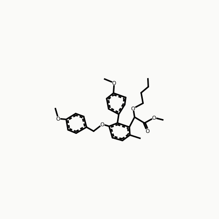 CCCCOC(C(=O)OC)c1c(C)ccc(OCc2ccc(OC)cc2)c1-c1ccc(OC)cc1